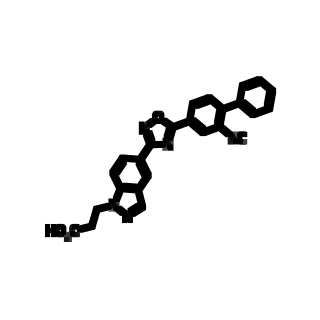 [C-]#[N+]c1cc(-c2nc(-c3ccc4c(cnn4CCC(=O)O)c3)no2)ccc1-c1ccccc1